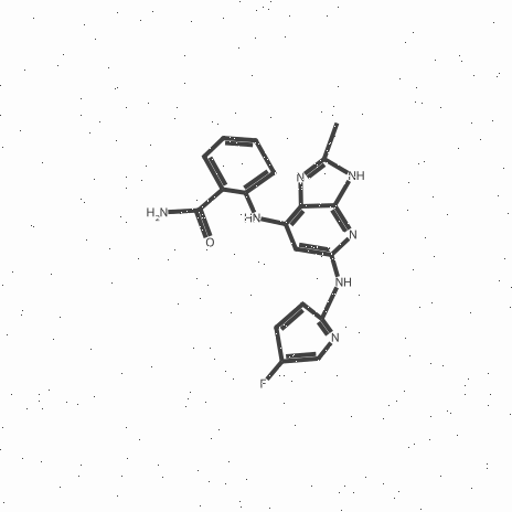 Cc1nc2c(Nc3ccccc3C(N)=O)cc(Nc3ccc(F)cn3)nc2[nH]1